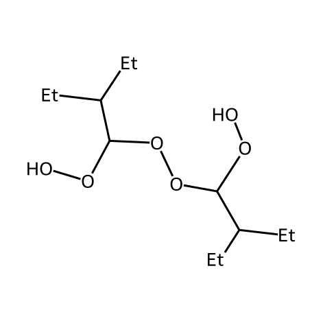 CCC(CC)C(OO)OOC(OO)C(CC)CC